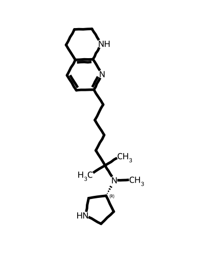 CN([C@@H]1CCNC1)C(C)(C)CCCCc1ccc2c(n1)NCCC2